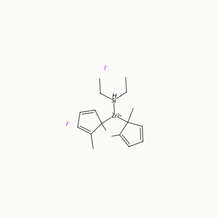 CC[SiH](CC)[Zr+2]([C]1(C)C=CC=C1C)[C]1(C)C=CC=C1C.[I-].[I-]